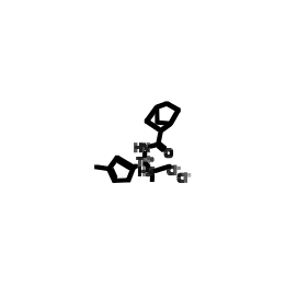 CC1=CC[C]([Ti+2]([NH]C(=O)C2CC3CCC2C3)[SiH](C)C)=C1.[Cl-].[Cl-]